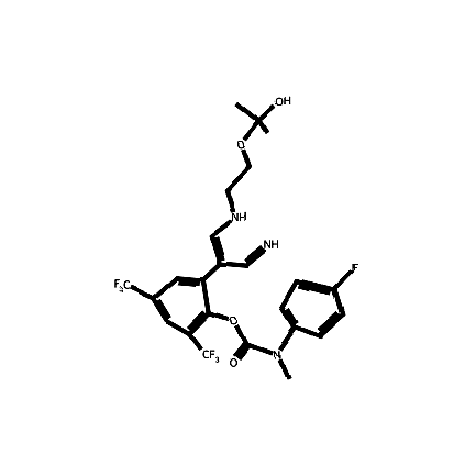 CN(C(=O)Oc1c(/C(C=N)=C/NCCOC(C)(C)O)cc(C(F)(F)F)cc1C(F)(F)F)c1ccc(F)cc1